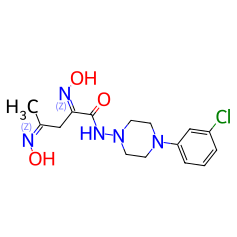 C/C(C/C(=N/O)C(=O)NN1CCN(c2cccc(Cl)c2)CC1)=N/O